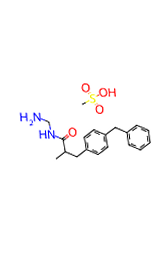 CC(Cc1ccc(Cc2ccccc2)cc1)C(=O)NCN.CS(=O)(=O)O